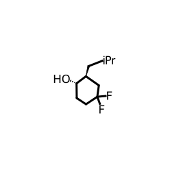 CC(C)C[C@H]1CC(F)(F)CC[C@@H]1O